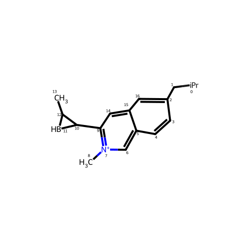 CC(C)Cc1ccc2c[n+](C)c(C3BC3C)cc2c1